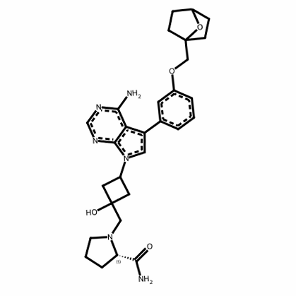 NC(=O)[C@@H]1CCCN1CC1(O)CC(n2cc(-c3cccc(OCC45CCC(CC4)O5)c3)c3c(N)ncnc32)C1